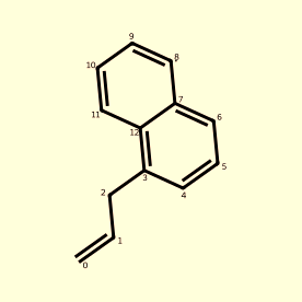 C=CCc1cccc2[c]cccc12